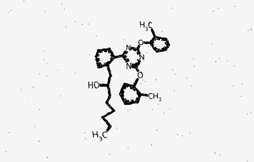 CCCCCCC(O)Cc1ccccc1-c1nc(Oc2ccccc2C)nc(Oc2ccccc2C)n1